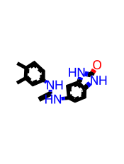 C=C(Nc1ccc(C)c(C)c1)Nc1ccc2[nH]c(=O)[nH]c2c1